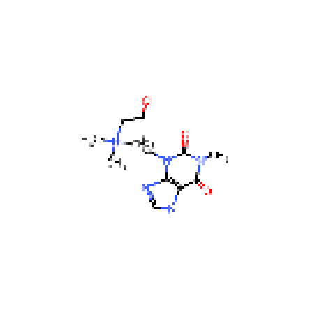 C[N+](C)(C)CCO.Cn1c(=O)c2[nH]cnc2n(C)c1=O